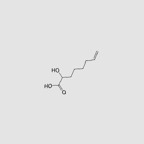 C=CCCCCC(O)C(=O)O